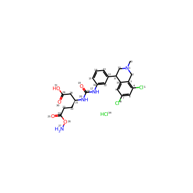 CN1Cc2c(Cl)cc(Cl)cc2C(c2cccc(NC(=O)N[C@@H](CCC(=O)ON)CC(=O)O)c2)C1.Cl